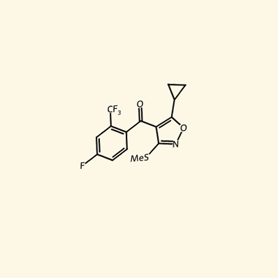 CSc1noc(C2CC2)c1C(=O)c1ccc(F)cc1C(F)(F)F